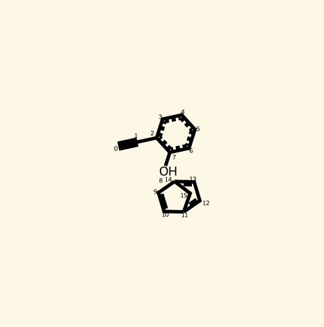 C#Cc1ccccc1O.C1=CC2=CC=C1C2